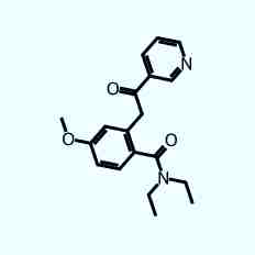 CCN(CC)C(=O)c1ccc(OC)cc1CC(=O)c1cccnc1